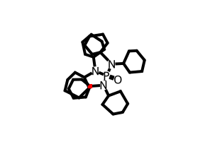 O=P(N(C1CCCCC1)C1CCCCC1)(N(C1CCCCC1)C1CCCCC1)N(C1CCCCC1)C1CCCCC1